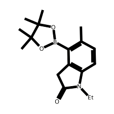 CCN1C(=O)Cc2c1ccc(C)c2B1OC(C)(C)C(C)(C)O1